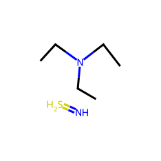 CCN(CC)CC.N=[SH2]